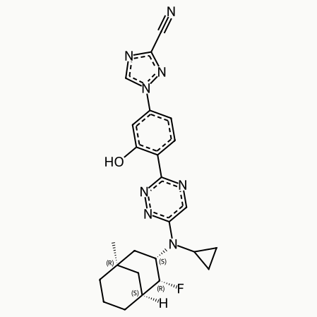 C[C@@]12CCC[C@@H](C1)[C@@H](F)[C@@H](N(c1cnc(-c3ccc(-n4cnc(C#N)n4)cc3O)nn1)C1CC1)C2